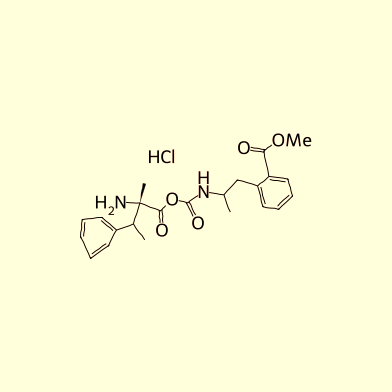 COC(=O)c1ccccc1CC(C)NC(=O)OC(=O)[C@@](C)(N)C(C)c1ccccc1.Cl